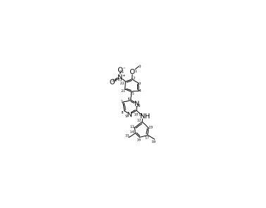 COc1ccc(-c2ccnc(Nc3cc(C)cc(C)c3)n2)cc1[N+](=O)[O-]